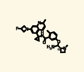 Cc1ccc2c(C3(NC(=O)c4cc(OC([SiH3])[C@@H]5CCN5C)ccc4C)CC3)cc(N3CC(F)C3)cc2n1